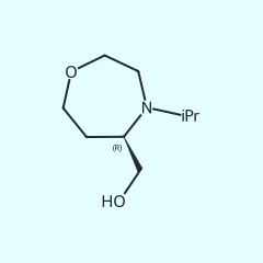 CC(C)N1CCOCC[C@@H]1CO